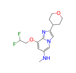 CNc1cc(OCC(F)F)c2nc(C3CCOCC3)cn2c1